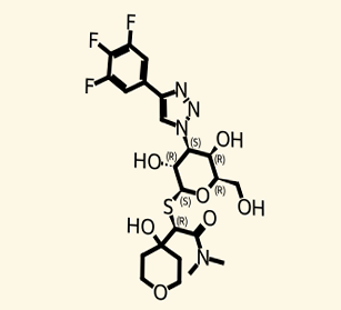 CN(C)C(=O)[C@H](S[C@@H]1O[C@H](CO)[C@H](O)[C@H](n2cc(-c3cc(F)c(F)c(F)c3)nn2)[C@H]1O)C1(O)CCOCC1